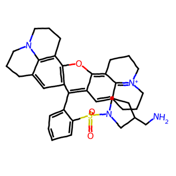 NCC1CCN(S(=O)(=O)c2ccccc2C2=c3cc4c5c(c3Oc3c2cc2c6c3CCCN6CCC2)CCC[N+]=5CCC4)C1